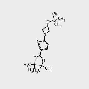 CC1(C)OB(c2ccc(N3CC(O[Si](C)(C)C(C)(C)C)C3)nc2)OC1(C)C